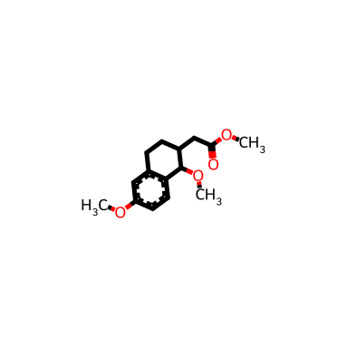 COC(=O)CC1CCc2cc(OC)ccc2C1OC